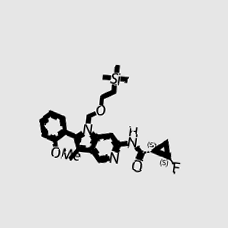 COc1ccccc1-c1c(C)c2cnc(NC(=O)[C@@H]3C[C@@H]3F)cc2n1COCC[Si](C)(C)C